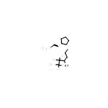 [2H]C(CCC[C@H]1CCC[C@@H]1C=CCCCCCCC)C([2H])(O)C(O)(O)C(=O)O